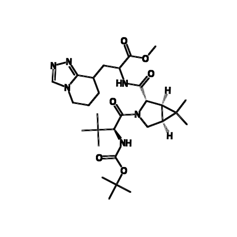 COC(=O)C(CC1CCCn2cnnc21)NC(=O)[C@@H]1[C@@H]2[C@H](CN1C(=O)[C@@H](NC(=O)OC(C)(C)C)C(C)(C)C)C2(C)C